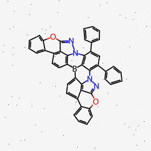 c1ccc(-c2cc(-c3ccccc3)c3c4c2-n2nc5c6c(ccc(c62)B4c2ccc4c6c(nn-3c26)Oc2ccccc2-4)-c2ccccc2O5)cc1